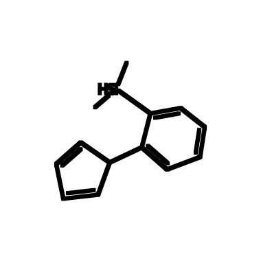 C[SiH](C)c1ccccc1C1C=CC=C1